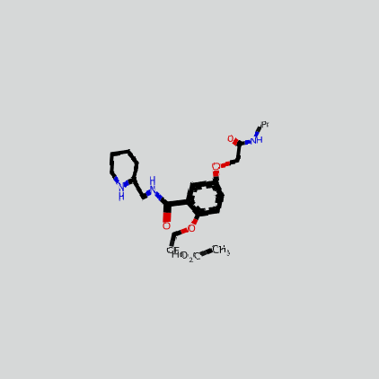 CC(=O)O.CC(C)NC(=O)COc1ccc(OCC(F)(F)F)c(C(=O)NCC2CCCCN2)c1